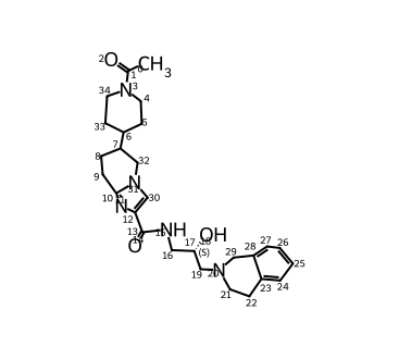 CC(=O)N1CCC(C2CCc3nc(C(=O)NC[C@H](O)CN4CCc5ccccc5C4)cn3C2)CC1